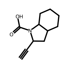 C#CC1CC2CCCCC2N1C(=O)O